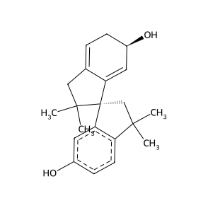 CC1(C)C[C@]2(C3=C[C@H](O)CC=C3CC2(C)C)c2cc(O)ccc21